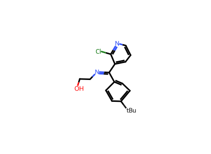 CC(C)(C)c1ccc(/C(=N\CCO)c2cccnc2Cl)cc1